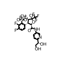 C[C@H]1[C@@H](c2ccc(F)c(F)c2S(C)(=O)=O)[C@H](C(=O)Nc2ccc([C@H](O)CO)nc2)O[C@@]1(C)C(F)(F)F